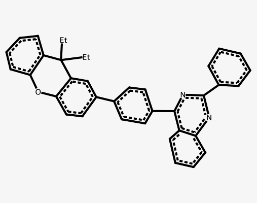 CCC1(CC)c2ccccc2Oc2ccc(-c3ccc(-c4nc(-c5ccccc5)nc5ccccc45)cc3)cc21